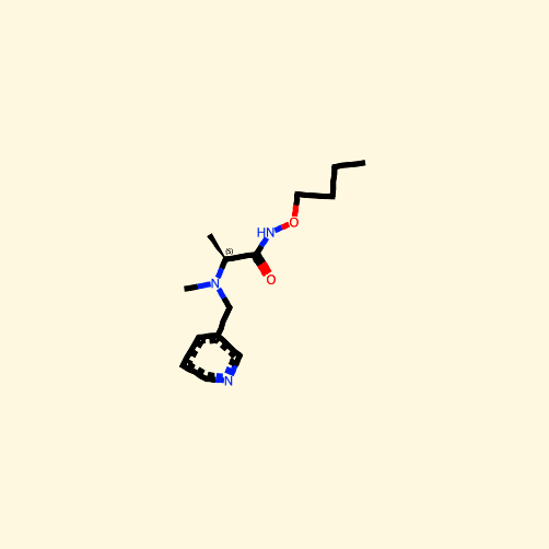 CCCCONC(=O)[C@H](C)N(C)Cc1cccnc1